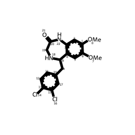 COc1cc2c(cc1OC)C(Cc1ccc(Cl)c(Cl)c1)NCC(=O)N2